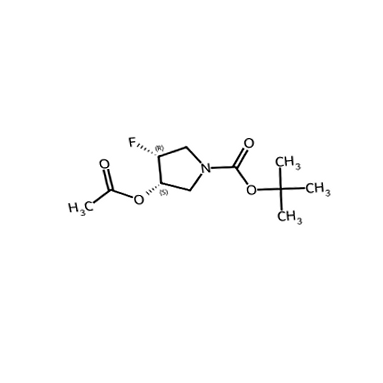 CC(=O)O[C@H]1CN(C(=O)OC(C)(C)C)C[C@H]1F